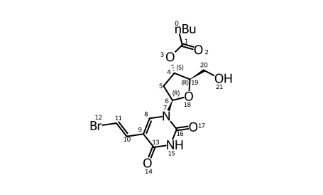 CCCCC(=O)O[C@H]1C[C@H](n2cc(C=CBr)c(=O)[nH]c2=O)O[C@@H]1CO